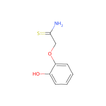 NC(=S)COc1ccccc1O